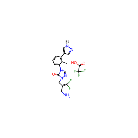 CCn1cc(-c2cccc(-n3cnn(CC(CN)=C(F)F)c3=O)c2C)cn1.O=C(O)C(F)(F)F